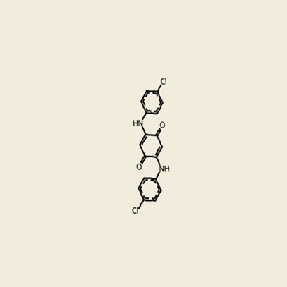 O=C1C=C(Nc2ccc(Cl)cc2)C(=O)C=C1Nc1ccc(Cl)cc1